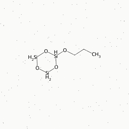 CCCO[SiH]1O[SiH2]O[SiH2]O1